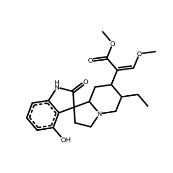 CCC1CN2CCC3(C(=O)Nc4cccc(O)c43)C2CC1/C(=C/OC)C(=O)OC